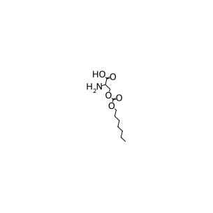 CCCCCCCOC(=O)OCC(N)C(=O)O